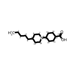 CCCCCC1CCN(C2CCC(C(=O)O)CC2)CC1